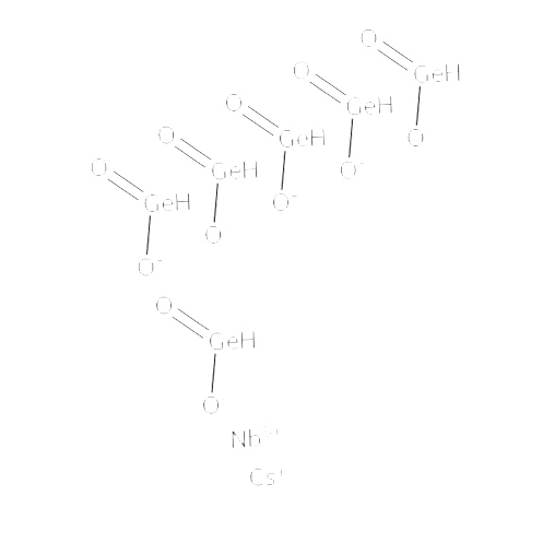 [Cs+].[Nb+5].[O]=[GeH][O-].[O]=[GeH][O-].[O]=[GeH][O-].[O]=[GeH][O-].[O]=[GeH][O-].[O]=[GeH][O-]